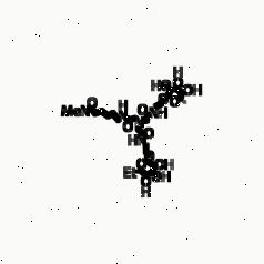 CC[C@H]1O[C@@H](OCCNC(=O)CN(CC(=O)NCCCCCC(=O)NC)CC(=O)NCCO[C@@H]2O[C@@H](C)[C@@H](O)[C@@H](O)[C@@H]2O)[C@@H](O)[C@@H](O)[C@@H]1O